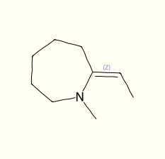 C/C=C1/CCCCCN1C